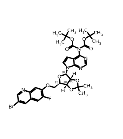 CC(C)(C)OC(=O)N(C(=O)OC(C)(C)C)c1ncnc2c1ccn2[C@@H]1O[C@H](COc2cc3ncc(Br)cc3cc2F)[C@H]2OC(C)(C)O[C@H]21